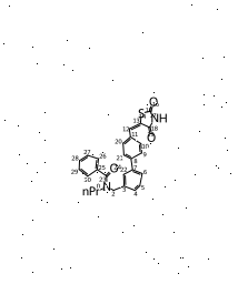 CCCN(Cc1cccc(-c2ccc(/C=C3/SC(=O)NC3=O)cc2)c1)C(=O)c1ccccc1